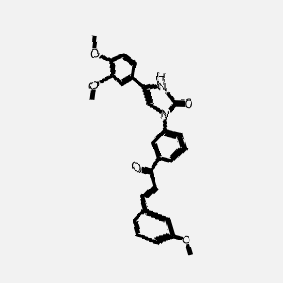 COc1cccc(/C=C/C(=O)c2cccc(-n3cc(-c4ccc(OC)c(OC)c4)[nH]c3=O)c2)c1